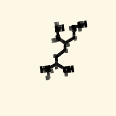 CNC(O)CCC(CSS)SS